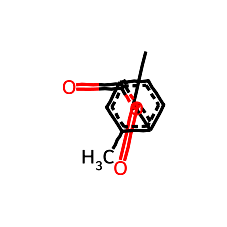 Cc1cc2ccc1c(=O)oc2=O